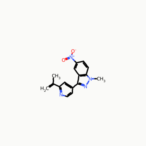 C=C(C)c1cc(-c2nn(C)c3ccc([N+](=O)[O-])cc23)ccn1